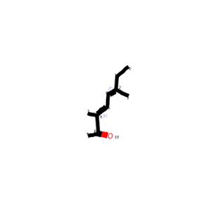 CC/C(C)=C/C=C(\C)C(C)=O